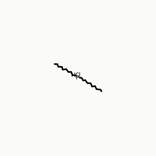 CCCCCCCCCC[P]CCCCCCCCCC.Cl